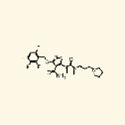 Cc1cc(F)c(COc2nsc(NC(=O)NCCCN3CCCC3)c2C(N)=O)c(F)c1F